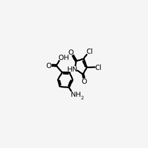 Nc1ccc(C(=O)O)cc1.O=C1NC(=O)C(Cl)=C1Cl